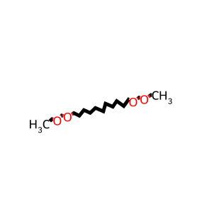 CCOCOCCCCCCCCCCCOCOCC